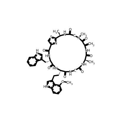 C=C1NC(=O)[C@@H](C)NC(=O)CNC(=O)[C@H](CCc2c[nH]c3cccc(OC)c23)NC(=O)[C@H](Cc2c[nH]c3ccccc23)NC(=O)c2csc(n2)[C@@H](C)NC(=O)CN(C)C1=O